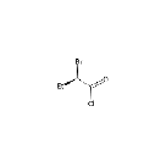 CC[C@@H](Br)C(=O)Cl